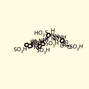 Nc1c(/N=N/c2cc(Nc3ncnc(Nc4ccc(S(=O)(=O)CCOS(=O)(=O)O)cc4)n3)cc(S(=O)(=O)O)c2)c(S(=O)(=O)O)cc2cc(S(=O)(=O)O)c(/N=N/c3ccc4c(S(=O)(=O)O)cccc4c3S(=O)(=O)O)c(O)c12